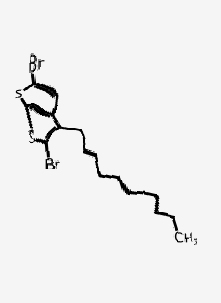 CCCCCCCCCCc1c(Br)sc2sc(Br)cc12